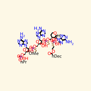 CCCCCCCCCCC(=O)OCCSP(=O)(O)OC1[C@@H]2OCC[C@@]1(COP(O)(=S)O[C@H]1C(O)[C@@H](COP(O)(=S)O[C@H]3C(OC)[C@@H](COP(=O)(O)OCCC)O[C@H]3n3cnc4c(N)ncnc43)O[C@H]1n1cnc3c(N)ncnc31)O[C@H]2n1cnc2c(N)ncnc21